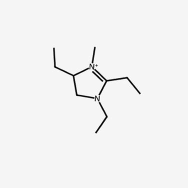 CCC1=[N+](C)C(CC)CN1CC